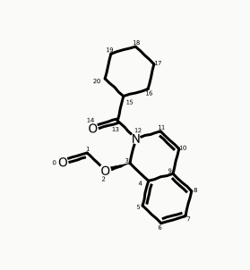 O=CO[C@@H]1c2ccccc2C=CN1C(=O)C1CCCCC1